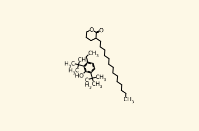 CCCCCCCCCCCCCCC1CCCOC1=O.CCc1ccc(C(C)(C)C)c(O)c1C(C)(C)C